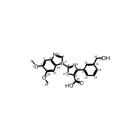 COc1cc2ncn(-c3nc(-c4cccc(CO)c4)c(C(=O)O)s3)c2cc1OC